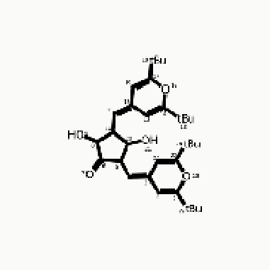 CC(C)(C)C1=CC(=CC2C(=O)C(O)C(C=C3C=C(C(C)(C)C)OC(C(C)(C)C)=C3)C2O)C=C(C(C)(C)C)O1